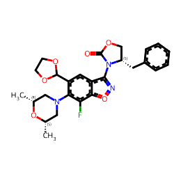 C[C@@H]1CN(c2c(C3OCCO3)cc3c(N4C(=O)OC[C@@H]4Cc4ccccc4)noc3c2F)C[C@H](C)O1